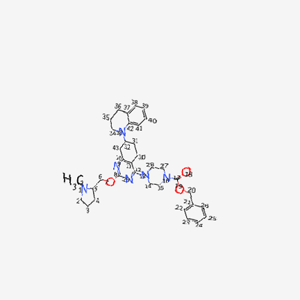 CN1CCCC1COc1nc2c(c(N3CCN(C(=O)OCc4ccccc4)CC3)n1)CCC(N1CCCc3ccccc31)C2